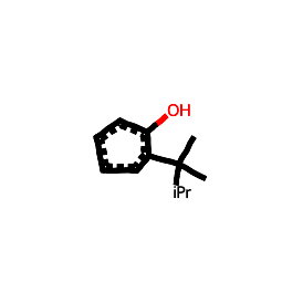 CC(C)C(C)(C)c1ccccc1O